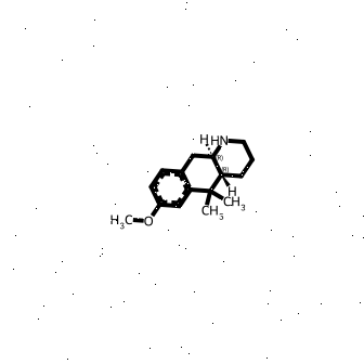 COc1ccc2c(c1)C(C)(C)[C@H]1CCCN[C@@H]1C2